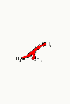 C=CC(=O)OCCCCCCOc1ccc(OC(=O)C2CCC(C(=O)Oc3ccc(OC(=O)C4CCC(C(=O)Oc5ccc(OCCCCCCOC(=O)C=C)cc5)CC4)c(C/N=N/c4cnnc(-c5ccc6c(c5)c5ccccc5n6CC)c4)c3)CC2)cc1